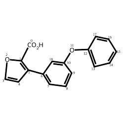 O=C(O)c1occc1-c1cccc(Oc2ccccc2)c1